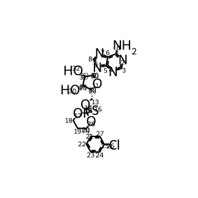 Nc1ncnc2c1ncn2[C@@H]1O[C@H](COP2(=S)OCC[C@@H](c3cccc(Cl)c3)O2)[C@H](O)[C@@H]1O